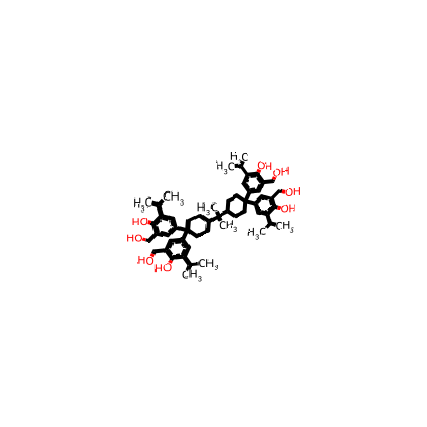 CC(C)c1cc(C2(c3cc(CO)c(O)c(C(C)C)c3)CCC(C(C)(C)C3CCC(c4cc(CO)c(O)c(C(C)C)c4)(c4cc(CO)c(O)c(C(C)C)c4)CC3)CC2)cc(CO)c1O